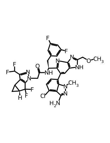 COCc1nc2nc([C@H](Cc3cc(F)cc(F)c3)NC(=O)Cn3nc(C(F)F)c4c3C(F)(F)[C@@H]3CC43)c(-c3ccc(Cl)c4c(N)nn(C)c34)cc2[nH]1